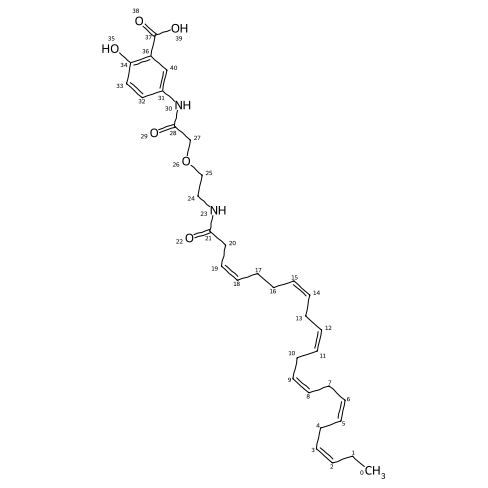 CC/C=C\C/C=C\C/C=C\C/C=C\C/C=C\CC/C=C\CC(=O)NCCOCC(=O)Nc1ccc(O)c(C(=O)O)c1